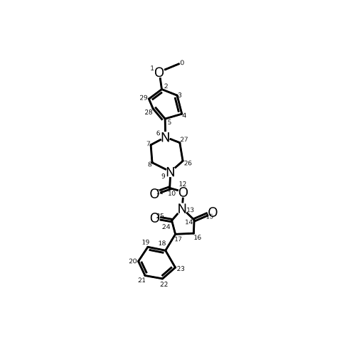 COc1ccc(N2CCN(C(=O)ON3C(=O)CC(c4ccccc4)C3=O)CC2)cc1